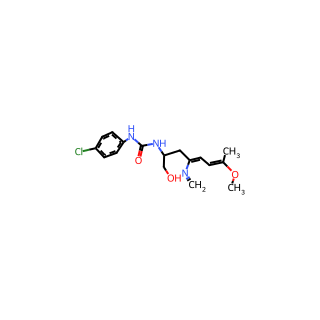 C=N/C(=C\C=C(/C)OC)CC(CO)NC(=O)Nc1ccc(Cl)cc1